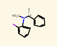 C[C@H](c1ccccc1)N(C(=O)O)c1ccccc1I